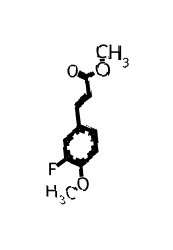 COC(=O)C=Cc1ccc(OC)c(F)c1